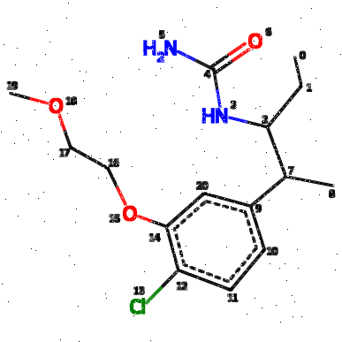 CCC(NC(N)=O)C(C)c1ccc(Cl)c(OCCOC)c1